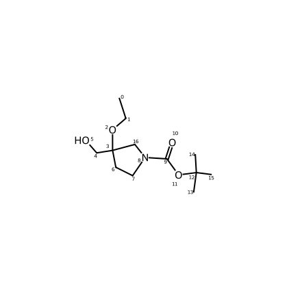 CCOC1(CO)CCN(C(=O)OC(C)(C)C)C1